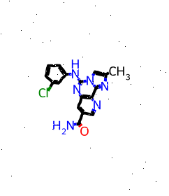 Cc1cn2c(Nc3cccc(Cl)c3)nc3cc(C(N)=O)cnc3c2n1